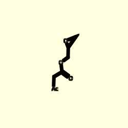 CC(=O)CC(=O)OCC1CO1